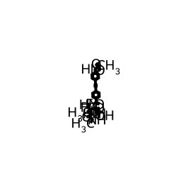 CNC(=O)NC(C)(C(F)F)[C@H](NC(=O)c1ccc(C#Cc2ccc(NS(C)(=O)=O)cc2)cc1)C(=O)NO